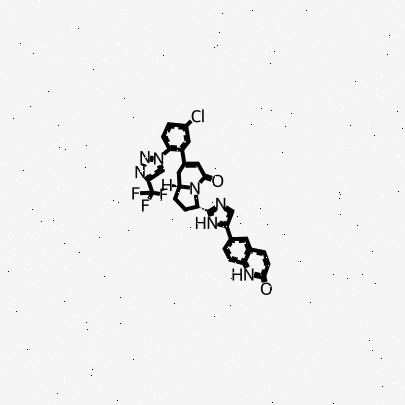 O=C1C=C(c2cc(Cl)ccc2-n2cc(C(F)(F)F)nn2)C[C@H]2CC[C@@H](c3ncc(-c4ccc5[nH]c(=O)ccc5c4)[nH]3)N12